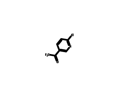 O=C(c1ccc(Cl)nc1)C(F)(F)F